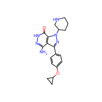 Nc1n[nH]c(=O)c2c1c(-c1ccc(OC3CC3)cc1)nn2C1CCCNC1